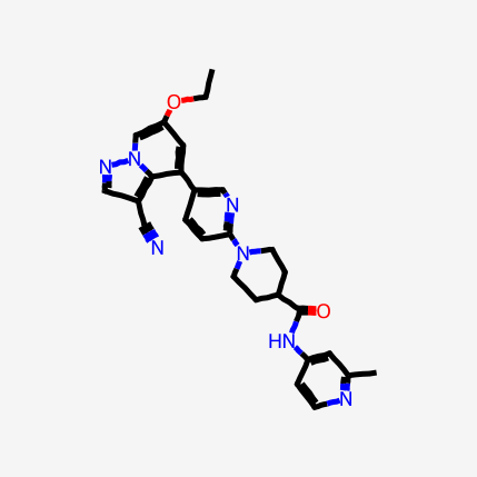 CCOc1cc(-c2ccc(N3CCC(C(=O)Nc4ccnc(C)c4)CC3)nc2)c2c(C#N)cnn2c1